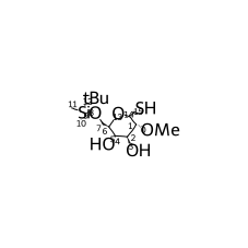 CO[C@@H]1[C@@H](O)[C@@H](O)[C@@H](CO[Si](C)(C)C(C)(C)C)O[C@H]1S